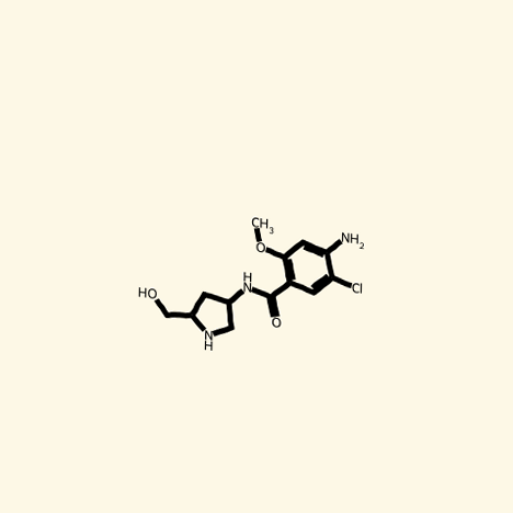 COc1cc(N)c(Cl)cc1C(=O)NC1CNC(CO)C1